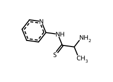 CC(N)C(=S)Nc1ccccn1